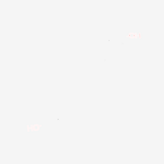 CC(CCCCC(C)CCCC(C)CCC1C(C)C(O)CCC1(C)C)CCCC(C)CCC1C(C)C(O)CCC1(C)C